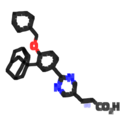 O=C(O)/C=C/c1cnc(-c2ccc(OCc3ccccc3)c(C34CC5CC(CC(C5)C3)C4)c2)nc1